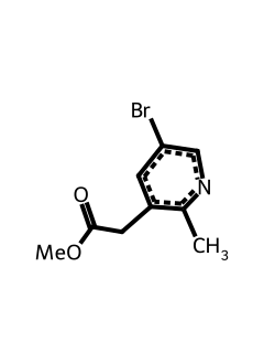 COC(=O)Cc1cc(Br)cnc1C